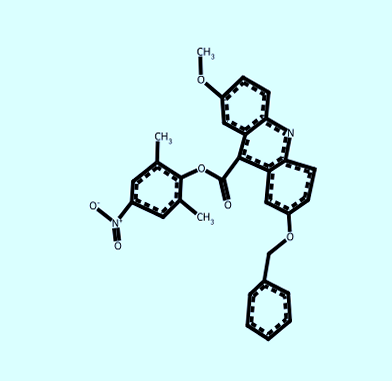 COc1ccc2nc3ccc(OCc4ccccc4)cc3c(C(=O)Oc3c(C)cc([N+](=O)[O-])cc3C)c2c1